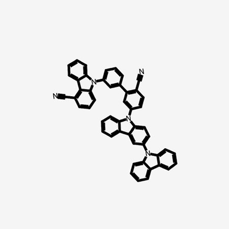 N#Cc1ccc(-n2c3ccccc3c3cc(-n4c5ccccc5c5ccccc54)ccc32)cc1-c1cccc(-n2c3ccccc3c3c(C#N)cccc32)c1